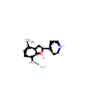 COc1ccc(C(=O)O)c2cc(-c3ccncc3)oc12.Cl